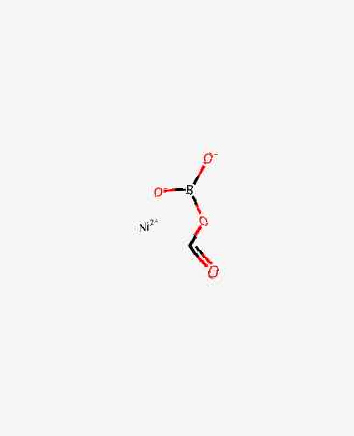 O=COB([O-])[O-].[Ni+2]